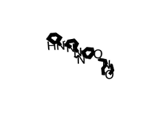 [c]1ccc(-n2cnc3cc(OCCN4CCOCC4)ccc32)nc1Nc1ccccc1